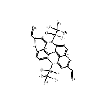 C=Cc1ccc2c(-c3c(O[Si](C)(C)C(C)(C)C)ccc4cc(C=C)ccc34)c(O[Si](C)(C)C(C)(C)C)ccc2c1